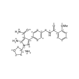 COc1ccccc1C(=O)NCc1ccc(-c2nn([C@@]3(N)CCOC3)c(N)c2C(N)=O)cc1